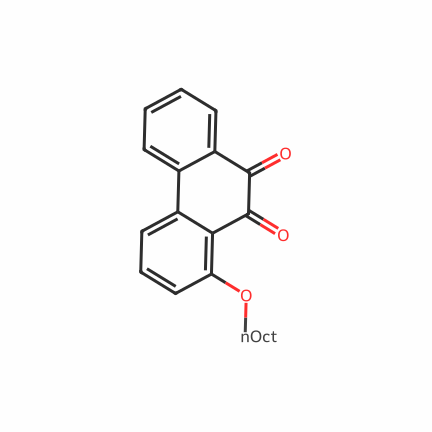 CCCCCCCCOc1cccc2c1C(=O)C(=O)c1ccccc1-2